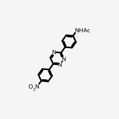 CC(=O)Nc1ccc(-c2ncc(-c3ccc([N+](=O)[O-])cc3)nn2)cc1